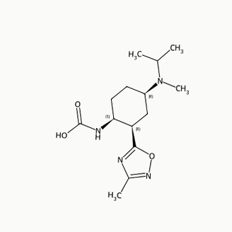 Cc1noc([C@@H]2C[C@H](N(C)C(C)C)CC[C@@H]2NC(=O)O)n1